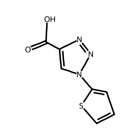 O=C(O)c1cn(-c2cccs2)nn1